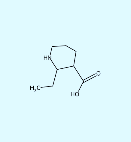 CCC1NCCCC1C(=O)O